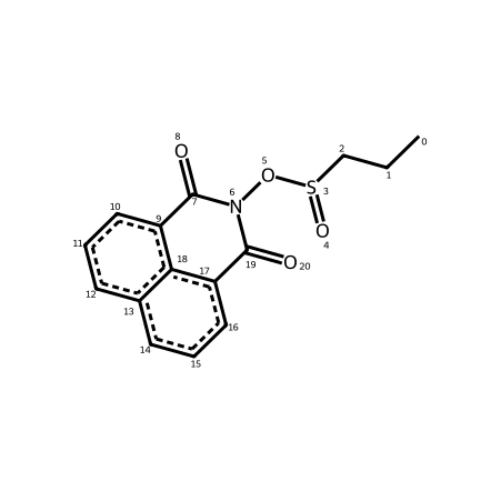 CCCS(=O)ON1C(=O)c2cccc3cccc(c23)C1=O